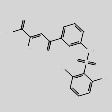 O=C(O)/C(O)=C/C(=O)c1cccc(NS(=O)(=O)c2c(Cl)cccc2Cl)c1